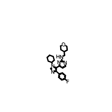 Fc1ccc(-c2ncn(C3CCCCC3)c2-c2ccnc(NCC3CCOCC3)n2)cc1